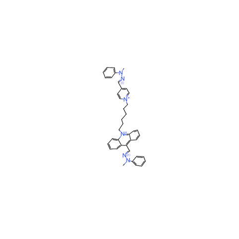 CN(/N=C/c1cc[n+](CCCCCC[n+]2c3ccccc3c(/C=N/N(C)c3ccccc3)c3ccccc32)cc1)c1ccccc1